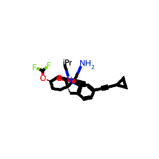 CC(C)N1C(=O)C2(N=C1N)c1cc(C#CC3CC3)ccc1C[C@]21CC[C@@H](OC(F)F)CC1